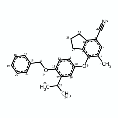 Cc1cc(C#N)c2c(c1Oc1ccc(OCc3ccccc3)c(C(C)C)c1)CCC2